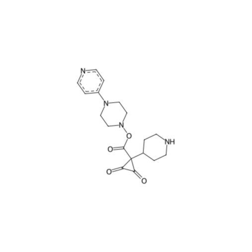 O=C(ON1CCN(c2ccncc2)CC1)C1(C2CCNCC2)C(=O)C1=O